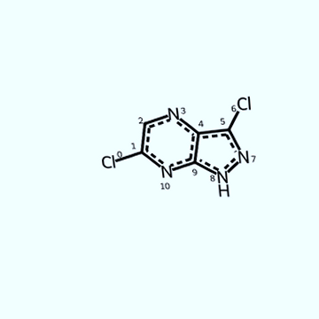 Clc1cnc2c(Cl)n[nH]c2n1